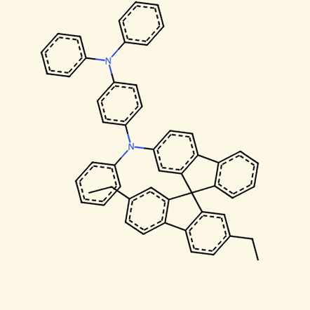 CCc1ccc2c(c1)C1(c3ccccc3-c3ccc(N(c4ccccc4)c4ccc(N(c5ccccc5)c5ccccc5)cc4)cc31)c1cc(CC)ccc1-2